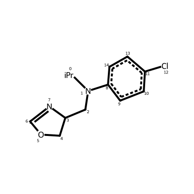 CC(C)N(CC1CO[C]=N1)c1ccc(Cl)cc1